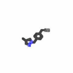 Cc1cnn(Cc2ccc(CN=O)cc2)c1